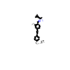 CCOC(=O)c1ccc(C#Cc2ccc(CNC(C)C3CC3)c(C(C)C)c2)cc1